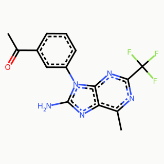 CC(=O)c1cccc(-n2c(N)nc3c(C)nc(C(F)(F)F)nc32)c1